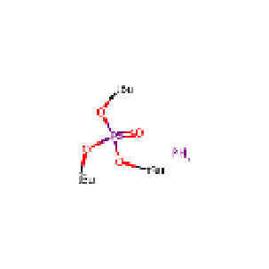 CC(C)(C)OP(=O)(OC(C)(C)C)OC(C)(C)C.P